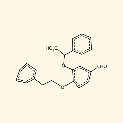 O=Cc1ccc(OCCc2ccccc2)c(OC(C(=O)O)c2ccccc2)c1